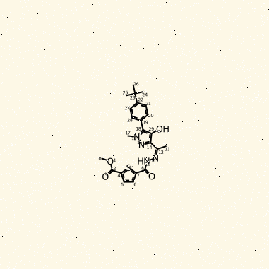 COC(=O)c1ccc(C(=O)N/N=C(/C)c2nn(C)c(-c3ccc(C(C)(C)C)cc3)c2O)s1